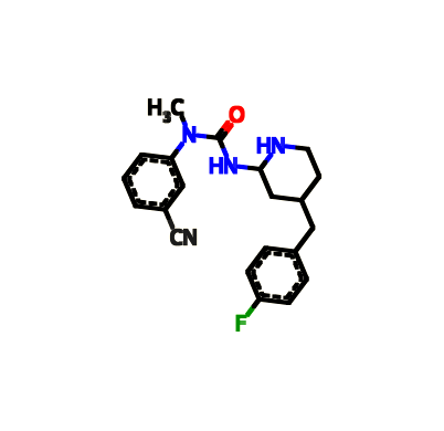 CN(C(=O)NC1CC(Cc2ccc(F)cc2)CCN1)c1cccc(C#N)c1